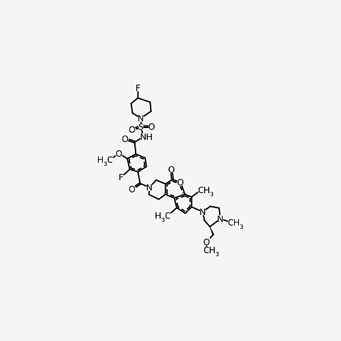 COC[C@H]1CN(c2cc(C)c3c4c(c(=O)oc3c2C)CN(C(=O)c2ccc(C(=O)NS(=O)(=O)N3CCC(F)CC3)c(OC)c2F)CC4)CCN1C